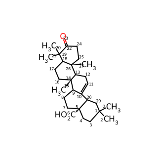 CC1(C)CC[C@]2(C(=O)O)CCC3C(=CCC4[C@@]3(C)CCC3C(C)(C)C(=O)CC[C@@]34C)C2C1